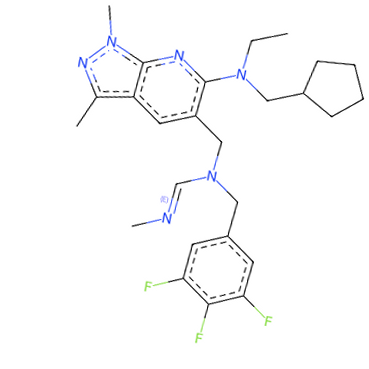 CCN(CC1CCCC1)c1nc2c(cc1CN(/C=N/C)Cc1cc(F)c(F)c(F)c1)c(C)nn2C